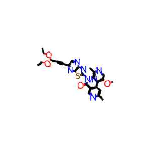 CCOC(C#Cc1cnc2nc(NC(=O)c3cnc(C)cc3-c3cc(C)ncc3OC)sc2n1)OCC